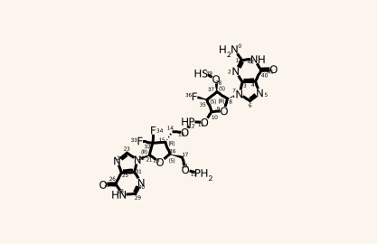 Nc1nc2c(ncn2[C@@H]2OC(OPOC[C@@H]3[C@@H](COP)O[C@@H](n4cnc5c(=O)[nH]cnc54)C3(F)F)[C@@H](F)[C@H]2OS)c(=O)[nH]1